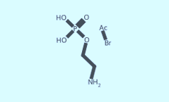 CC(=O)Br.NCCOP(=O)(O)O